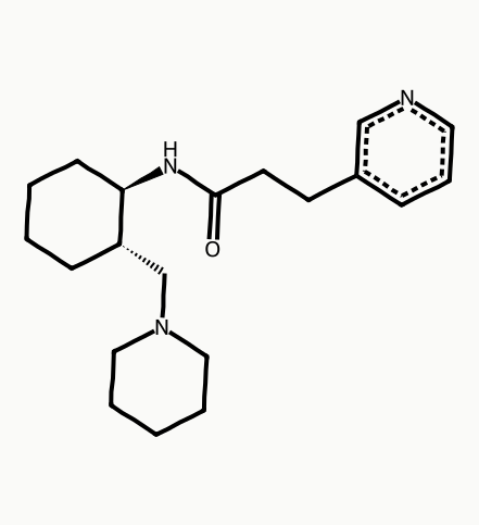 O=C(CCc1cccnc1)N[C@@H]1CCCC[C@H]1CN1CCCCC1